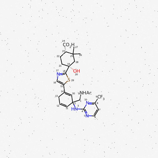 CC(=O)NCC1(Nc2nccc(C(F)(F)F)n2)C=CCC(c2cnc([C@@]3(O)CC[C@H](C(=O)O)C(C)(C)C3)s2)=C1